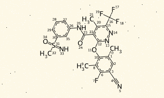 Cc1cc(C#N)c(F)c(C)c1Oc1nnc(C(F)(F)F)c(C)c1C(=O)Nc1cccc(S(C)(=N)=O)c1